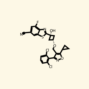 N#Cc1cc(F)c2nc([C@]3(O)C[C@@H](OCc4c(-c5c(Cl)cccc5Cl)noc4C4CC4)C3)sc2c1